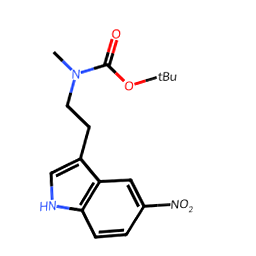 CN(CCc1c[nH]c2ccc([N+](=O)[O-])cc12)C(=O)OC(C)(C)C